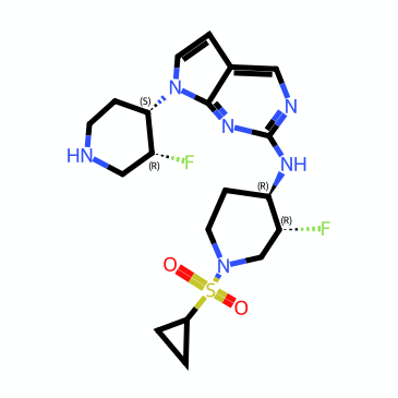 O=S(=O)(C1CC1)N1CC[C@@H](Nc2ncc3ccn([C@H]4CCNC[C@H]4F)c3n2)[C@H](F)C1